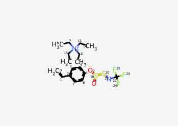 C=Cc1ccccc1.CC[N+](CC)(CC)CC.O=S(=O)=S=NC(F)(F)F